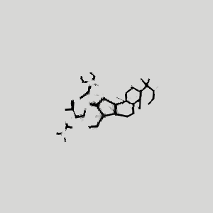 C=C(C)[C@@H](OC(=O)N(C)C)[C@H]1C[C@@H](C)[C@H]2[C@H](O1)[C@H](O[Si](CC)(CC)CC)[C@@]1(C)[C@@H]3CC[C@H]4C(C)(C)[C@@H](C)CC[C@@]45C[C@@]35CC[C@]21C